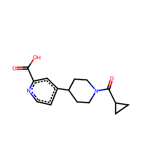 O=C(O)c1cc(C2CCN(C(=O)C3CC3)CC2)ccn1